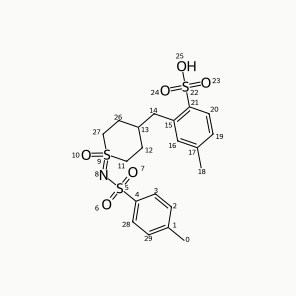 Cc1ccc(S(=O)(=O)N=S2(=O)CCC(Cc3cc(C)ccc3S(=O)(=O)O)CC2)cc1